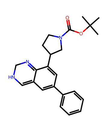 CC(C)(C)OC(=O)N1CCC(c2cc(-c3ccccc3)cc3c2=NCNC=3)C1